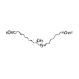 CCCCCCCCCCCCCCCCCCC(O)C[N+](C)(C)CCCCCCCCCCCCCCCCCC